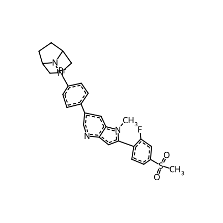 CC(C)N1C2CCC1CN(c1ccc(-c3cnc4cc(-c5ccc(S(C)(=O)=O)cc5F)n(C)c4c3)cc1)C2